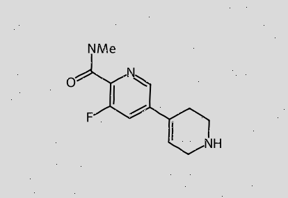 CNC(=O)c1ncc(C2=CCNCC2)cc1F